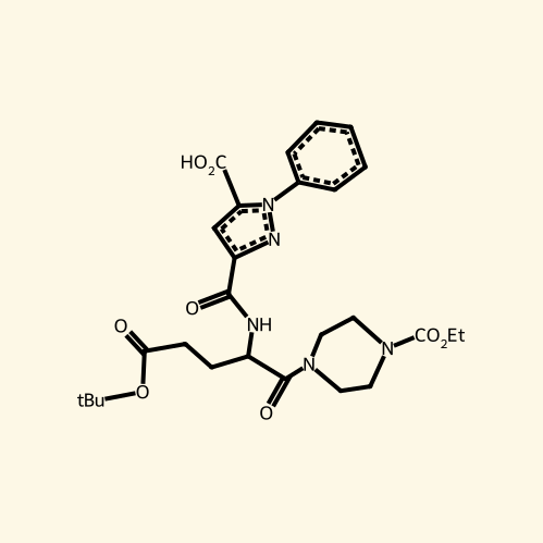 CCOC(=O)N1CCN(C(=O)C(CCC(=O)OC(C)(C)C)NC(=O)c2cc(C(=O)O)n(-c3ccccc3)n2)CC1